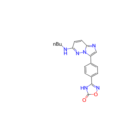 CCCCNc1ccc2ncc(-c3ccc(-c4noc(=O)[nH]4)cc3)n2n1